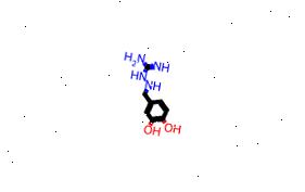 N=C(N)NNCc1ccc(O)c(O)c1